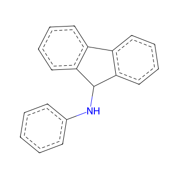 c1ccc(NC2c3ccccc3-c3ccccc32)cc1